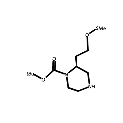 CSOCC[C@H]1CNCCN1C(=O)OC(C)(C)C